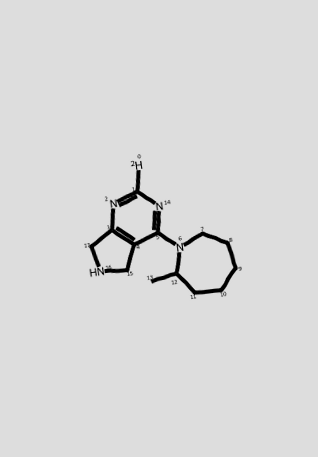 [2H]c1nc2c(c(N3CCCCCC3C)n1)CNC2